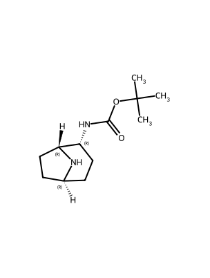 CC(C)(C)OC(=O)N[C@@H]1CC[C@H]2CC[C@H]1N2